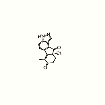 CCC12CCC(=O)C(C)=C1c1ccc3[nH]ncc3c1C2=O